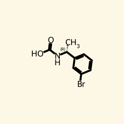 C[C@@H](NC(=O)O)c1cccc(Br)c1